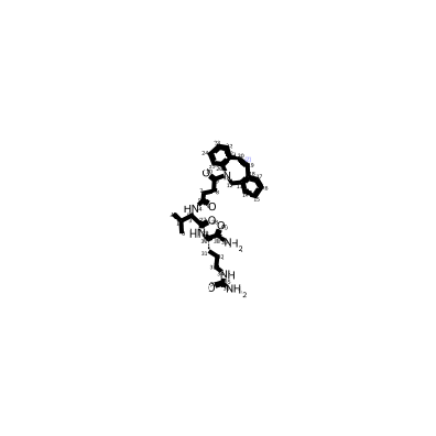 CC(C)[C@H](NC(=O)CCC(=O)N1Cc2ccccc2/C=C\c2ccccc21)C(=O)N[C@@H](CCCNC(N)=O)C(N)=O